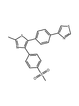 Cc1nc(-c2ccc(S(C)(=O)=O)cc2)c(-c2ccc(-c3cscn3)cc2)s1